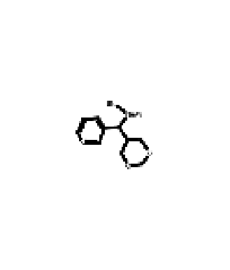 CCN(C(c1cccnc1)C1COCOC1)C(C)(C)C